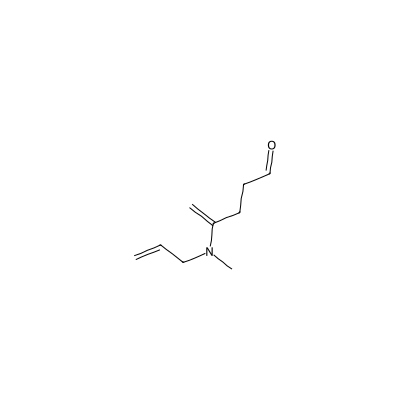 C=CCN(C)C(=C)CCC=O